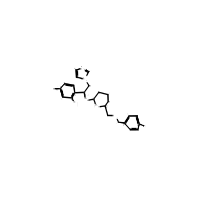 Clc1ccc(COCC2CCCC(OC(Cn3ccnc3)c3ccc(Cl)cc3Cl)O2)cc1